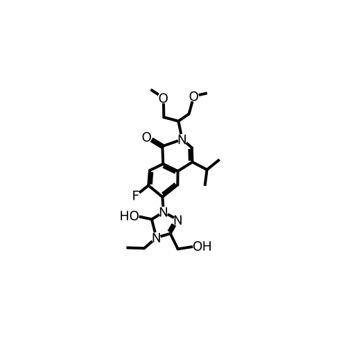 CCN1C(CO)=NN(c2cc3c(C(C)C)cn(C(COC)COC)c(=O)c3cc2F)C1O